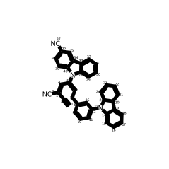 C#C/C(C#N)=C\C(=C/Cc1cccc(N2c3ccccc3C3C=CC=CC32)c1)n1c2ccccc2c2cc(C#N)ccc21